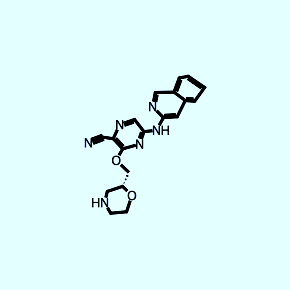 N#Cc1ncc(Nc2cc3ccccc3cn2)nc1OC[C@H]1CNCCO1